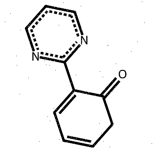 O=C1CC=CC=C1c1ncccn1